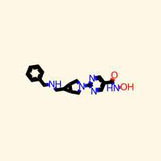 O=C(NO)c1cnc(N2CC3C(CNCc4ccccc4)C3C2)nc1